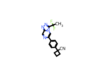 CC(F)(F)c1nnc2cnc(-c3ccc(C4(C#N)CCC4)cc3)cn12